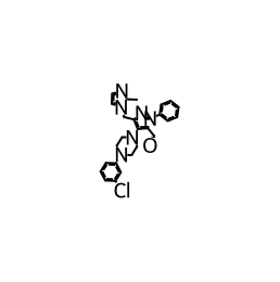 Cc1nccn1Cc1nn(-c2ccccc2)c(C=O)c1N1CCN(c2cccc(Cl)c2)CC1